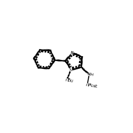 CCCCCNc1cnc(-c2ccccc2)n1CCCC